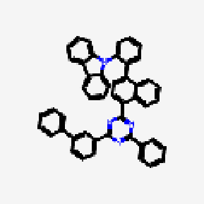 c1ccc(-c2cccc(-c3nc(-c4ccccc4)nc(-c4ccc(-c5ccccc5-n5c6ccccc6c6ccccc65)c5ccccc45)n3)c2)cc1